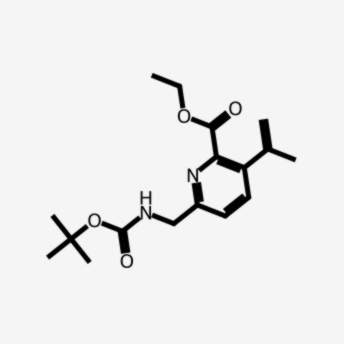 C=C(C)c1ccc(CNC(=O)OC(C)(C)C)nc1C(=O)OCC